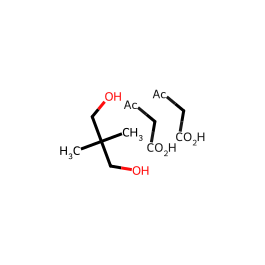 CC(=O)CC(=O)O.CC(=O)CC(=O)O.CC(C)(CO)CO